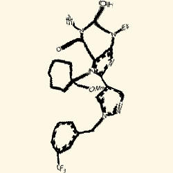 CCCN1C(=O)c2c(nc(-c3cnn(Cc4cccc(C(F)(F)F)c4)c3)n2C2(OC)CCCCC2)N(CC)C1O